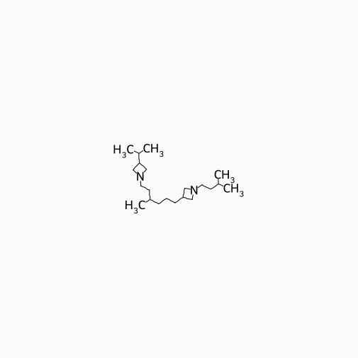 CC(C)CCN1CC(CCCC(C)CCN2CC(C(C)C)C2)C1